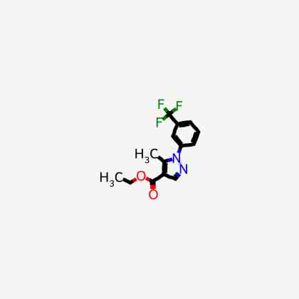 CCOC(=O)c1cnn(-c2cccc(C(F)(F)F)c2)c1C